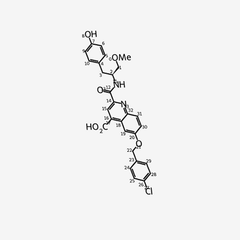 COC[C@H](Cc1ccc(O)cc1)NC(=O)c1cc(C(=O)O)c2cc(OCc3ccc(Cl)cc3)ccc2n1